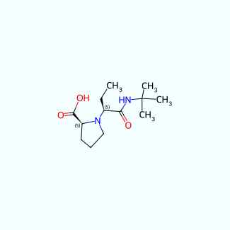 CC[C@@H](C(=O)NC(C)(C)C)N1CCC[C@H]1C(=O)O